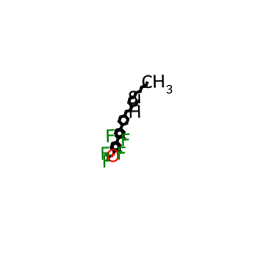 CCCCC[SiH]1CCC(CCC2CCC(c3cc(F)c(-c4ccc(OC(F)F)c(F)c4)c(F)c3)CC2)CC1